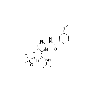 CN[C@@H]1CCC[C@H](C(=O)Nc2ncc3cc(S(C)(=O)=O)nc(NC(C)C)c3n2)C1